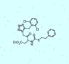 CCOC(=O)CC(NC(=O)SCCc1ccccc1)C(=O)Cn1nnnc1Cc1c(Cl)cccc1Cl